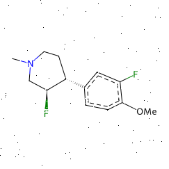 COc1ccc([C@H]2CCN(C)C[C@@H]2F)cc1F